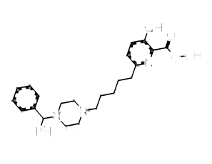 COC(=O)c1nc(CCCCCN2CCN(C(P)c3ccccc3)CC2)ccc1O